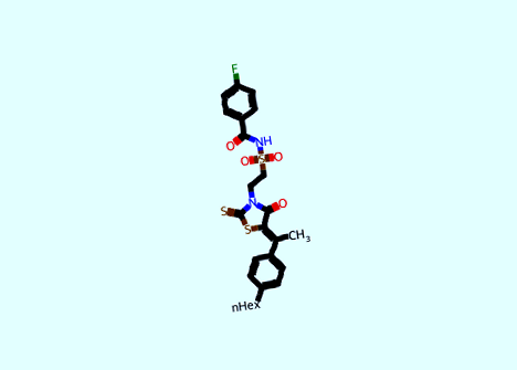 CCCCCCc1ccc(C(C)=C2SC(=S)N(CCS(=O)(=O)NC(=O)c3ccc(F)cc3)C2=O)cc1